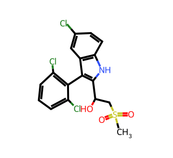 CS(=O)(=O)CC(O)c1[nH]c2ccc(Cl)cc2c1-c1c(Cl)cccc1Cl